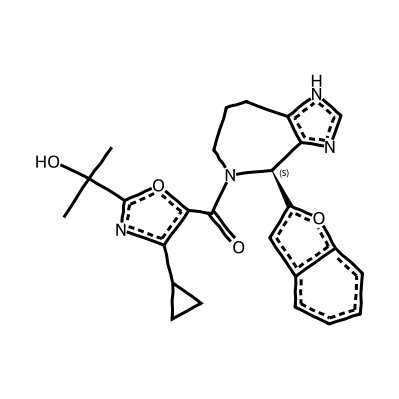 CC(C)(O)c1nc(C2CC2)c(C(=O)N2CCCc3[nH]cnc3[C@H]2c2cc3ccccc3o2)o1